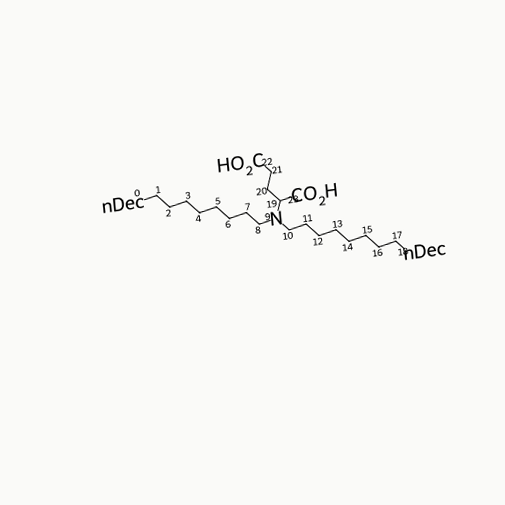 CCCCCCCCCCCCCCCCCCN(CCCCCCCCCCCCCCCCCC)C(CCC(=O)O)C(=O)O